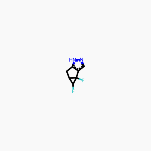 FC1C2Cc3[nH]ncc3C12F